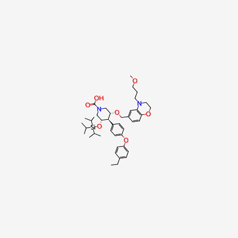 CCc1ccc(Oc2ccc([C@@H]3[C@@H](OCc4ccc5c(c4)N(CCCOC)CCO5)CN(C(=O)O)C[C@H]3O[Si](C(C)C)(C(C)C)C(C)C)cc2)cc1